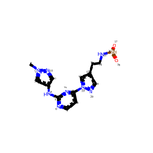 Cn1cc(Nc2nccc(-n3cc(CCN[SH](=O)=O)cn3)n2)cn1